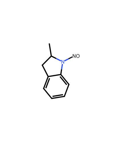 CC1Cc2ccccc2N1N=O